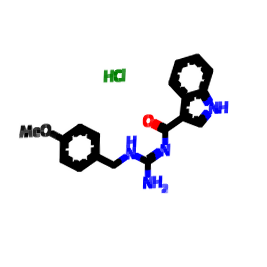 COc1ccc(CNC(N)=NC(=O)c2c[nH]c3ccccc23)cc1.Cl